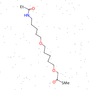 CCC(=O)NCCCCCOCCCCCOCC(=O)SC